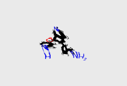 NCc1cccc(C2=CC3C=CN=CC3C(OC3CCNCC3)=C2)c1